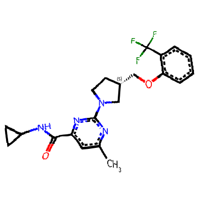 Cc1cc(C(=O)NC2CC2)nc(N2CC[C@H](COc3ccccc3C(F)(F)F)C2)n1